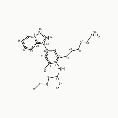 CCCCC(CC)Nc1c(C)cc(-n2nnc3ccccc32)cc1CCCCCN